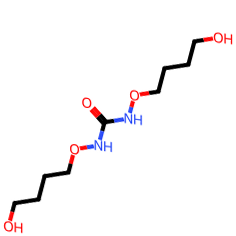 O=C(NOCCCCO)NOCCCCO